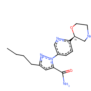 CCCCc1cc(C(N)=O)n(-c2ccc([C@@H]3CNCCO3)nc2)n1